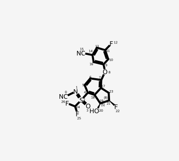 N#CN=S(=O)(c1ccc(Oc2cc(F)cc(C#N)c2)c2c1[C@H](O)[C@H](F)C2)C(F)F